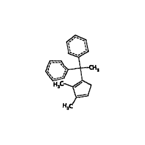 CC1=CCC(C(C)(c2ccccc2)c2ccccc2)=C1C